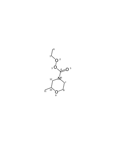 CCOOC(=O)N1CCOC(C)C1